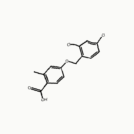 Cc1cc(OCc2ccc(Cl)cc2Cl)ccc1C(=O)O